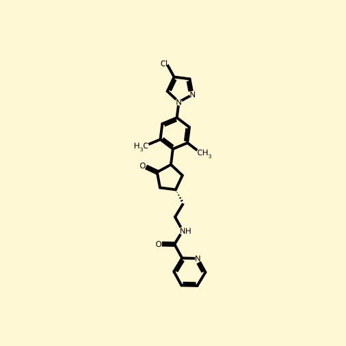 Cc1cc(-n2cc(Cl)cn2)cc(C)c1C1C[C@H](CCNC(=O)c2ccccn2)CC1=O